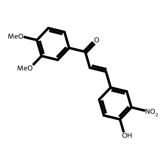 COc1ccc(C(=O)C=Cc2ccc(O)c([N+](=O)[O-])c2)cc1OC